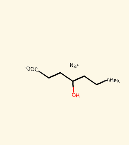 CCCCCCCCC(O)CCC(=O)[O-].[Na+]